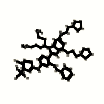 CCCCC(CCC)n1c(-c2ccc(Oc3ccc(F)c(C(F)(F)F)c3)cc2OCc2ccccn2)nc2c(OCCN3CCCC3)cc(OCCN3CCCC3)cc21